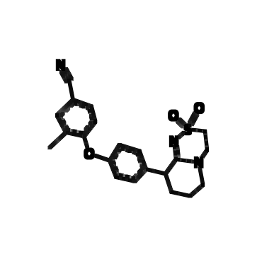 Cc1cc(C#N)ccc1Oc1ccc(C2CCCN3CCS(=O)(=O)N=C23)cc1